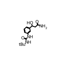 CC(C)(C)NC(=O)Nc1cccc(C(O)CC(N)=O)c1